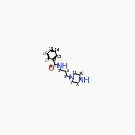 O=C(NCCCN1CCNCC1)c1ccccc1